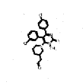 Cn1c(N2CCCC(CC=O)C2)c(-c2cccc(Cl)c2)c(-c2ccc(Cl)cc2)nc1=O